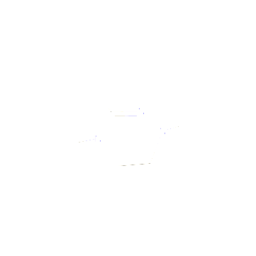 CC1=NN(C)CCN1C